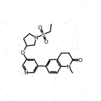 CCS(=O)(=O)N1CCC(Oc2cncc(-c3ccc4c(c3)CCC(=O)N4C)c2)C1